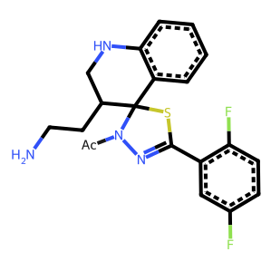 CC(=O)N1N=C(c2cc(F)ccc2F)SC12c1ccccc1NCC2CCN